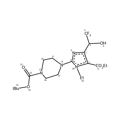 CCOC(=O)c1c(C(O)C(F)(F)F)nc(N2CCN(C(=O)OC(C)(C)C)CC2)n1CC